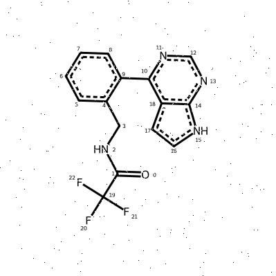 O=C(NCc1ccccc1-c1ncnc2[nH]ccc12)C(F)(F)F